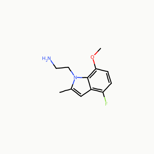 COc1ccc(F)c2cc(C)n(CCN)c12